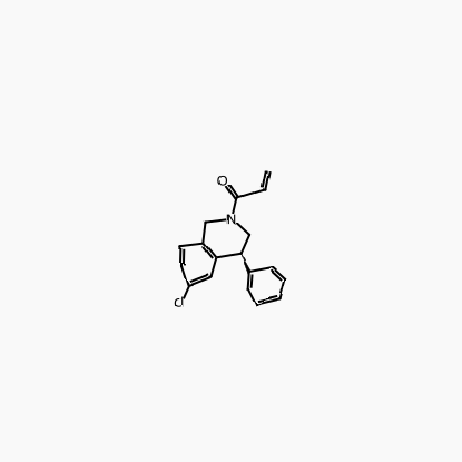 C=CC(=O)N1Cc2ccc(Cl)cc2[C@H](c2ccccc2)C1